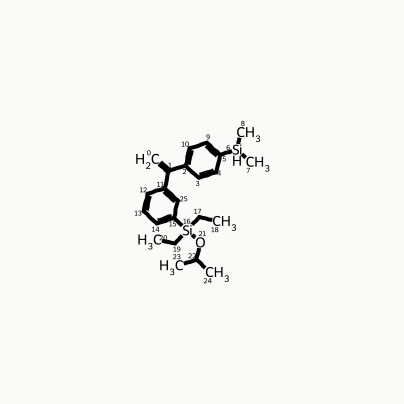 C=C(c1ccc([SiH](C)C)cc1)c1cccc([Si](CC)(CC)OC(C)C)c1